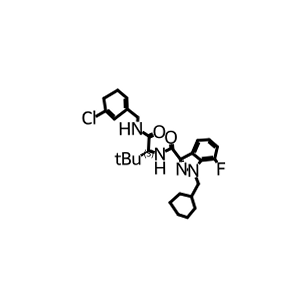 CC(C)(C)[C@H](NC(=O)c1nn(CC2CCCCC2)c2c(F)cccc12)C(=O)NCC1=CCCC(Cl)=C1